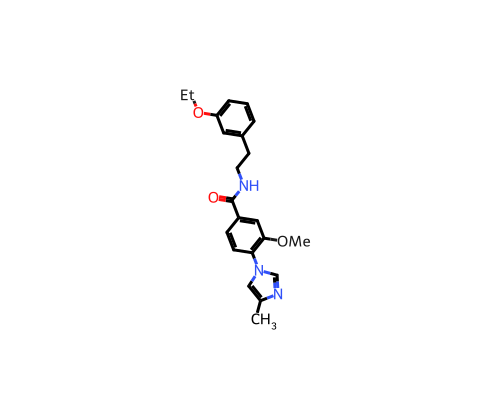 CCOc1cccc(CCNC(=O)c2ccc(-n3cnc(C)c3)c(OC)c2)c1